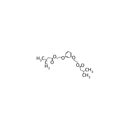 CC(C)CC(=O)OCCOc1cccc(OCCOC(=O)CC(C)C)c1